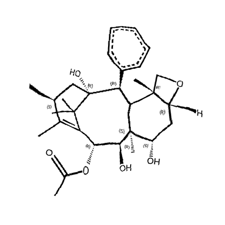 CC(=O)O[C@@H]1C2=C(C)[C@@H](C)C[C@@](O)([C@@H](c3ccccc3)C3[C@@](C)([C@@H](O)C[C@H]4OC[C@@]34C)[C@H]1O)C2(C)C